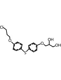 OCC(O)COc1ccc(Sc2ccc(OCCCCl)cc2)cc1